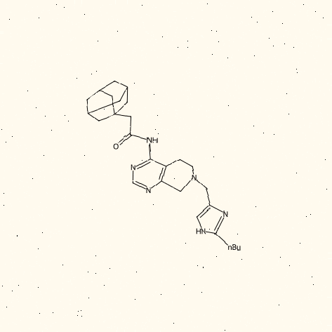 CCCCc1nc(CN2CCc3c(ncnc3NC(=O)CC34CC5CC(CC(C5)C3)C4)C2)c[nH]1